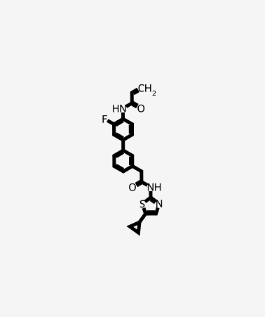 C=CC(=O)Nc1ccc(-c2cccc(CC(=O)Nc3ncc(C4CC4)s3)c2)cc1F